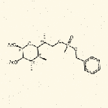 CC(=O)OC1[C@@H](OC(C)=O)OC([C@H](C)COP(C)(=O)OCc2ccccc2)[C@@H](C)[C@@H]1C